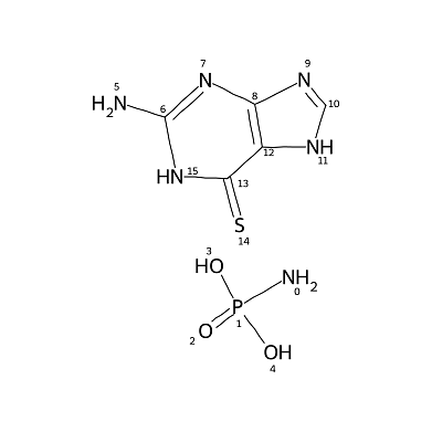 NP(=O)(O)O.Nc1nc2nc[nH]c2c(=S)[nH]1